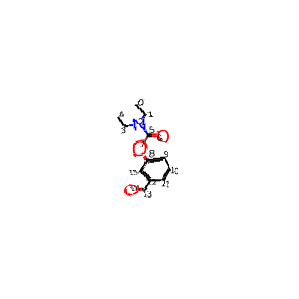 CCN(CC)C(=O)Oc1cccc(C=O)c1